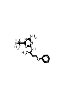 CC(CCOc1ccccc1)Nc1nc(N)nc(C(C)(C)F)n1